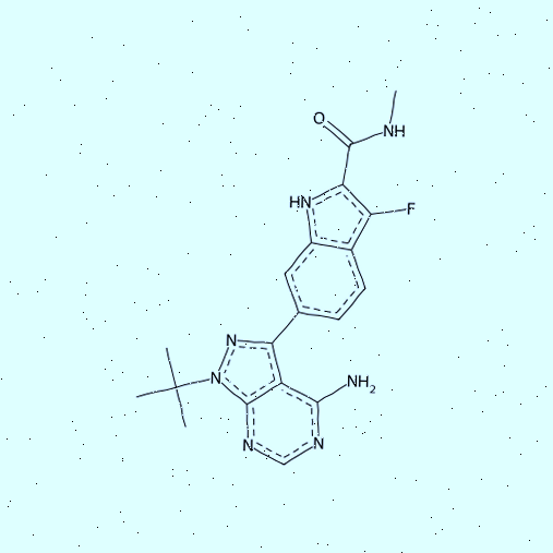 CNC(=O)c1[nH]c2cc(-c3nn(C(C)(C)C)c4ncnc(N)c34)ccc2c1F